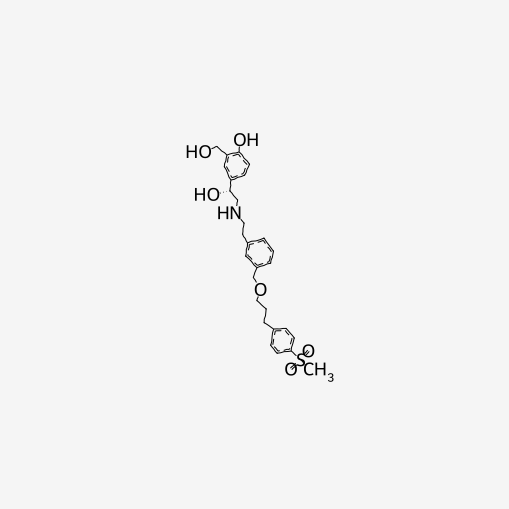 CS(=O)(=O)c1ccc(CCCOCc2cccc(CCNC[C@H](O)c3ccc(O)c(CO)c3)c2)cc1